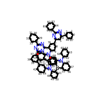 c1ccc(-c2cc(-c3ccc(-n4c5ccccc5c5ccccc54)c(-c4nc(-c5ccccc5)nc(-c5cccc(-c6cccc(N7c8ccccc8B8c9ccccc9N(c9ccccc9)c9cccc7c98)c6)c5)n4)c3)nc(-c3ccccc3)n2)cc1